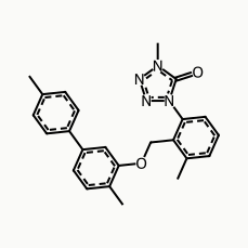 Cc1ccc(-c2ccc(C)c(OCc3c(C)cccc3-n3nnn(C)c3=O)c2)cc1